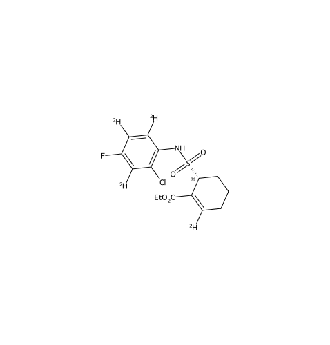 [2H]C1=C(C(=O)OCC)[C@H](S(=O)(=O)Nc2c([2H])c([2H])c(F)c([2H])c2Cl)CCC1